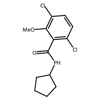 COc1c(Cl)ccc(Cl)c1C(=O)PC1CCCC1